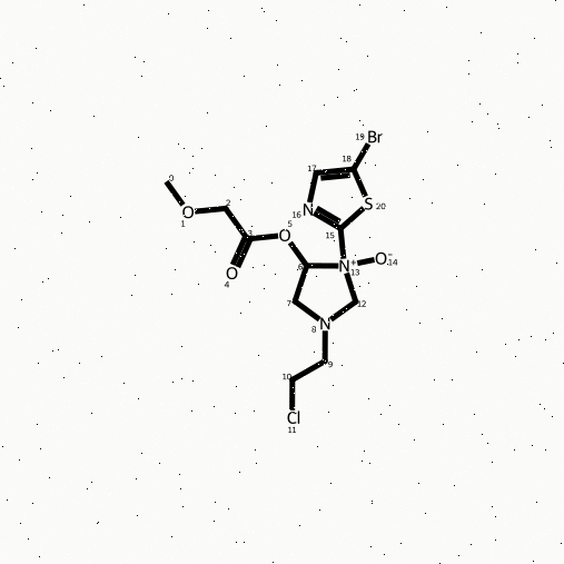 COCC(=O)OC1CN(CCCl)C[N+]1([O-])c1ncc(Br)s1